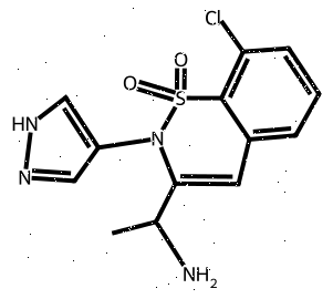 CC(N)C1=Cc2cccc(Cl)c2S(=O)(=O)N1c1cn[nH]c1